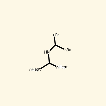 CCCCCCCC(CCCCCCC)NC(CCC)CCCC